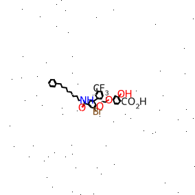 O=C(NCCCCCCCCc1ccccc1)c1cc(Br)c(OCCOc2ccc(C(=O)O)c(O)c2)c(-c2cccc(C(F)(F)F)c2)c1